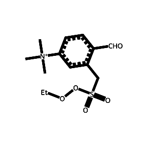 CCOOS(=O)(=O)Cc1cc([N+](C)(C)C)ccc1C=O